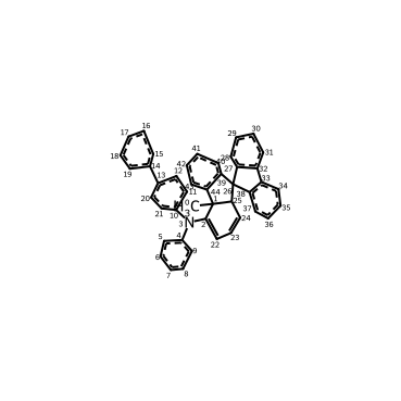 CC12C(N(c3ccccc3)c3ccc(-c4ccccc4)cc3)=CC=CC1C1(c3ccccc3-c3ccccc31)c1ccccc12